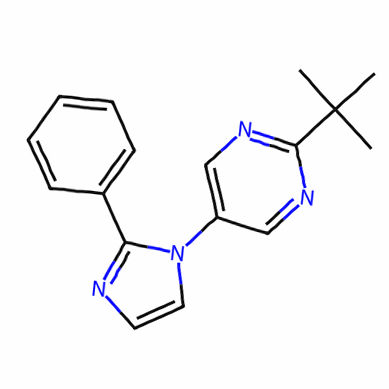 CC(C)(C)c1ncc(-n2ccnc2-c2ccccc2)cn1